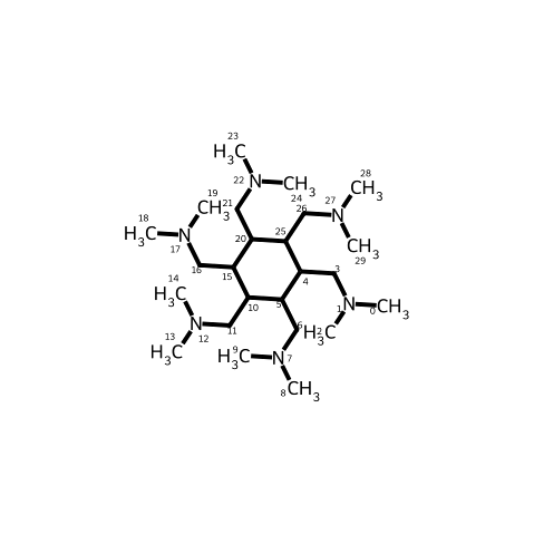 CN(C)CC1C(CN(C)C)C(CN(C)C)C(CN(C)C)C(CN(C)C)C1CN(C)C